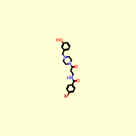 O=C(NCCC(=O)N1CCN(Cc2cccc(O)c2)CC1)c1ccc(Br)cc1